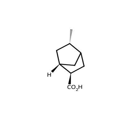 C[C@H]1C[C@@H]2CC1C[C@H]2C(=O)O